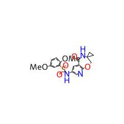 COc1ccc(OC)c(S(=O)(=O)Nc2cnc3c(c2)C(=O)NC2(CC2)CO3)c1